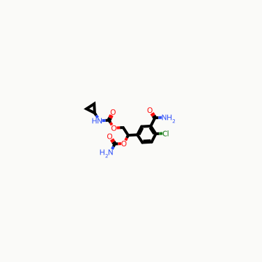 NC(=O)OC(COC(=O)NC1CC1)c1ccc(Cl)c(C(N)=O)c1